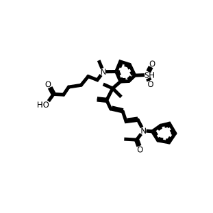 C=C(/C=C/C=C/N(C(C)=O)c1ccccc1)C(C)(C)c1cc([SH](=O)=O)ccc1N(C)CCCCCC(=O)O